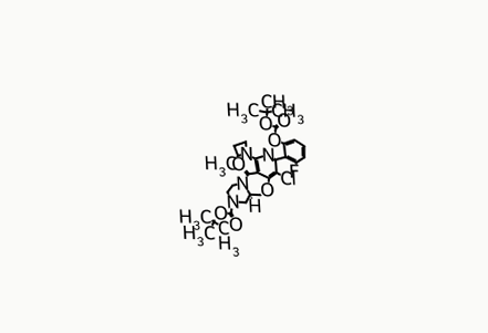 C[C@H]1CCN1c1nc(-c2c(F)cccc2OC(=O)OC(C)(C)C)c(Cl)c2c1C(=O)N1CCN(C(=O)OC(C)(C)C)C[C@@H]1CO2